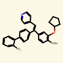 COc1ccc(C(=Cc2ccncc2)c2ccc(-c3ccccc3C(F)(F)F)cc2)cc1OC1CCCC1